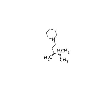 C=C(CCN1CCCCC1)[SiH](C)C